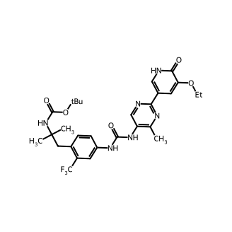 CCOc1cc(-c2ncc(NC(=O)Nc3ccc(CC(C)(C)NC(=O)OC(C)(C)C)c(C(F)(F)F)c3)c(C)n2)c[nH]c1=O